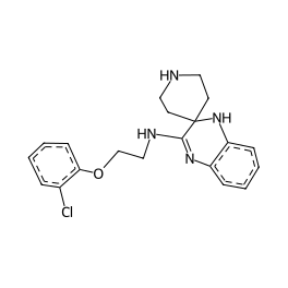 Clc1ccccc1OCCNC1=Nc2ccccc2NC12CCNCC2